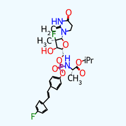 C=C1NC(=O)CCN1[C@@H]1O[C@H](COP(=O)(N[C@@H](C)C(=O)OC(C)C)Oc2ccc(/C=C/c3ccc(F)cc3)cc2)[C@@H](O)[C@@]1(C)F